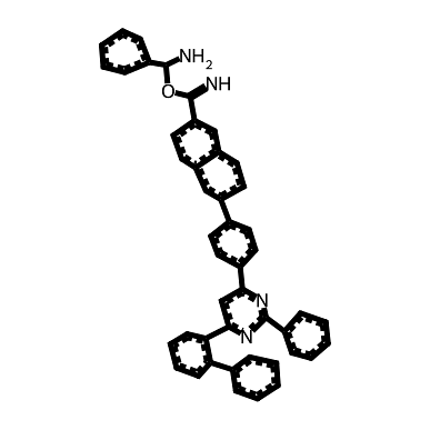 N=C(OC(N)c1ccccc1)c1ccc2cc(-c3ccc(-c4cc(-c5ccccc5-c5ccccc5)nc(-c5ccccc5)n4)cc3)ccc2c1